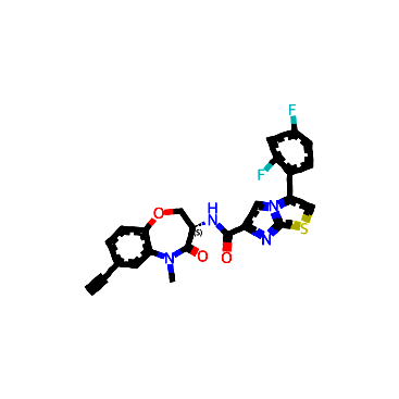 C#Cc1ccc2c(c1)N(C)C(=O)[C@@H](NC(=O)c1cn3c(-c4ccc(F)cc4F)csc3n1)CO2